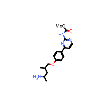 COC(=O)Nc1nccc(-c2ccc(OCC(C)CC(C)N)cc2)n1